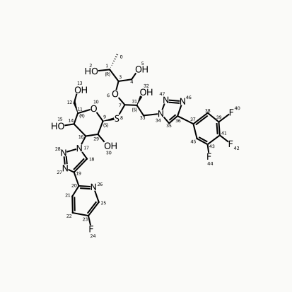 C[C@@H](O)C(CO)OC(S[C@@H]1O[C@H](CO)C(O)C(n2cc(-c3ccc(F)cn3)nn2)C1O)[C@@H](O)Cn1cc(-c2cc(F)c(F)c(F)c2)nn1